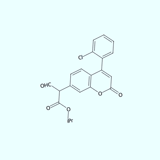 CC(C)OC(=O)C(C=O)c1ccc2c(-c3ccccc3Cl)cc(=O)oc2c1